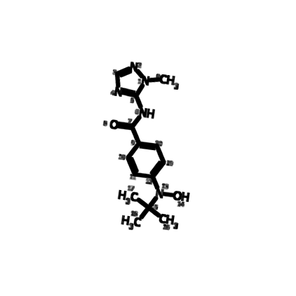 Cn1ncnc1NC(=O)c1ccc(N(O)C(C)(C)C)cc1